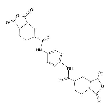 O=C(Nc1ccc(NC(=O)C2CCC3C(=O)OC(O)C3C2)cc1)C1CCC2C(=O)OC(=O)C2C1